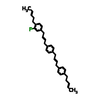 C/C=C/CCc1ccc(C/C=C/Cc2ccc(C/C=C/Cc3ccc(CC/C=C/C)c(F)c3)cc2)cc1